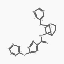 O=C(NC1C2CCN(CC2)C1Cc1cccnc1)c1ccc(Oc2ccccc2)cc1